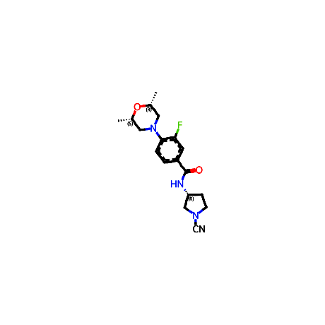 C[C@@H]1CN(c2ccc(C(=O)N[C@@H]3CCN(C#N)C3)cc2F)C[C@H](C)O1